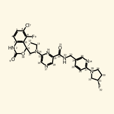 O=C1Nc2ccc(Cl)c(F)c2[C@]2(CCN(c3cncc(C(=O)NCc4ccc(N5CC[C@@H](F)C5)nc4)n3)C2)O1